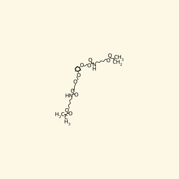 C=C(C)C(=O)OCCCCCNC(=O)OCCCOCCOc1cccc(OCCOC(=O)NCCCCCOC(=O)C(=C)C)c1